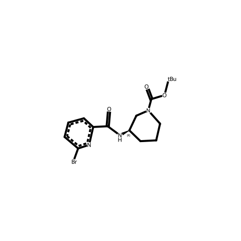 CC(C)(C)OC(=O)N1CCC[C@@H](NC(=O)c2cccc(Br)n2)C1